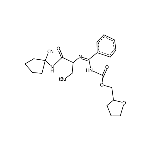 CC(C)(C)CC(/N=C(\NC(=O)OCC1CCCO1)c1ccccc1)C(=O)NC1(C#N)CCCC1